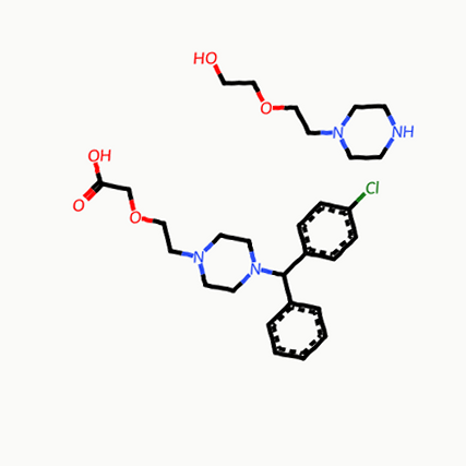 O=C(O)COCCN1CCN(C(c2ccccc2)c2ccc(Cl)cc2)CC1.OCCOCCN1CCNCC1